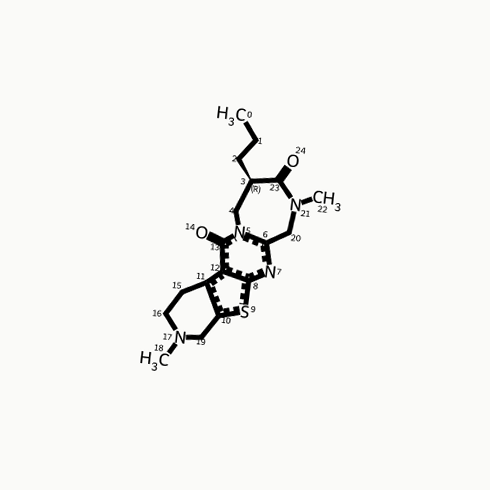 CCC[C@@H]1Cn2c(nc3sc4c(c3c2=O)CCN(C)C4)CN(C)C1=O